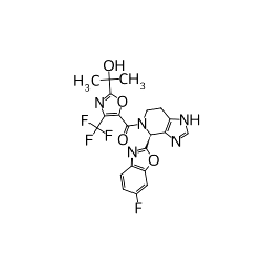 CC(C)(O)c1nc(C(F)(F)F)c(C(=O)N2CCc3[nH]cnc3[C@H]2c2nc3ccc(F)cc3o2)o1